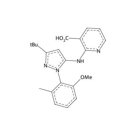 COc1cccc(C)c1-n1nc(C(C)(C)C)cc1Nc1ncccc1C(=O)O